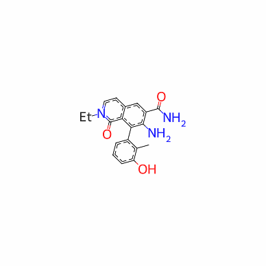 CCn1ccc2cc(C(N)=O)c(N)c(-c3cccc(O)c3C)c2c1=O